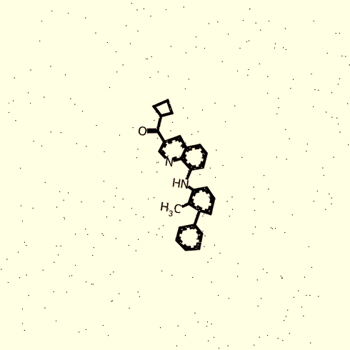 Cc1c(Nc2cccc3cc(C(=O)C4CCC4)cnc23)cccc1-c1ccccc1